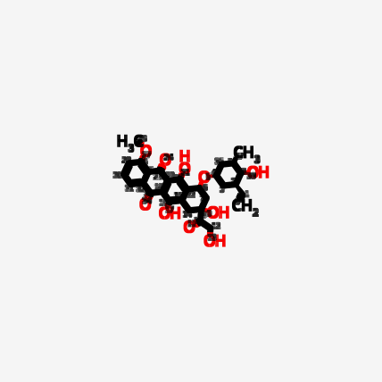 C=C[C@H]1C[C@H](O[C@H]2C[C@](O)(C(=O)CO)Cc3c(O)c4c(c(O)c32)C(=O)c2c(OC)cccc2C4=O)C[C@@H](C)[C@H]1O